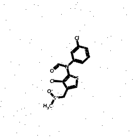 C[S+]([O-])Cc1csc(N(C=O)c2cccc(Cl)c2)c1Cl